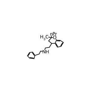 CCCC1(C)CC(CCNCCc2ccccc2)c2ccccc2O1